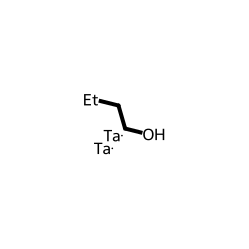 CCCCO.[Ta].[Ta]